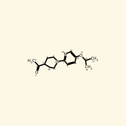 CC(=O)C1CCN(c2ccc(OC(C)C)cn2)CC1